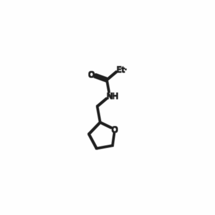 C[CH]C(=O)NCC1CCCO1